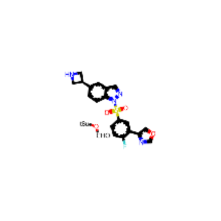 CC(C)(C)OC=O.O=S(=O)(c1ccc(F)c(-c2cocn2)c1)n1ncc2cc(C3CNC3)ccc21